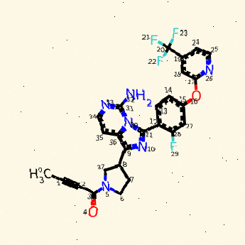 CC#CC(=O)N1CCC(c2nc(-c3ccc(Oc4cc(C(F)(F)F)ccn4)cc3F)n3c(N)nccc23)C1